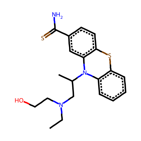 CCN(CCO)CC(C)N1c2ccccc2Sc2ccc(C(N)=S)cc21